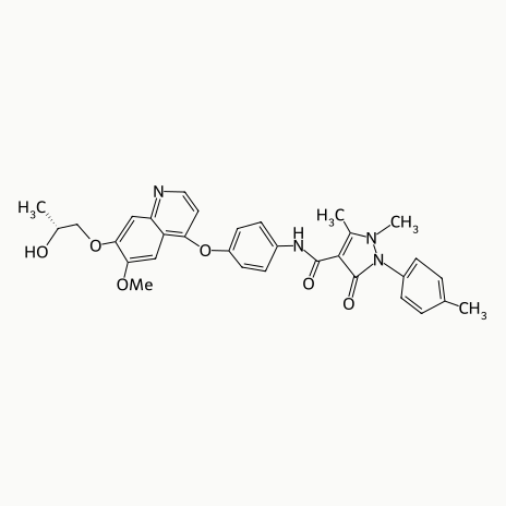 COc1cc2c(Oc3ccc(NC(=O)c4c(C)n(C)n(-c5ccc(C)cc5)c4=O)cc3)ccnc2cc1OC[C@@H](C)O